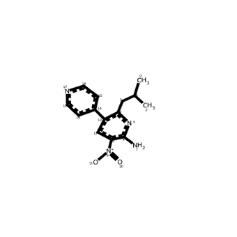 CC(C)Cc1nc(N)c([N+](=O)[O-])cc1-c1ccncc1